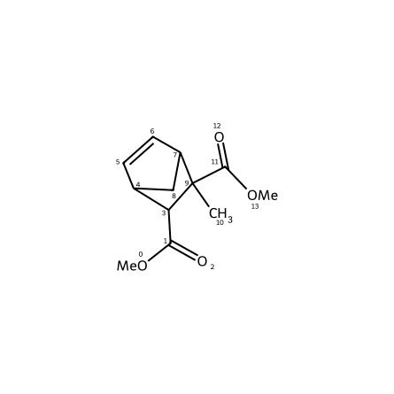 COC(=O)C1C2C=CC(C2)C1(C)C(=O)OC